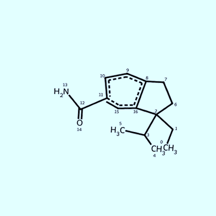 CCC1(C(C)C)CCc2ccc(C(N)=O)cc21